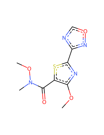 COc1nc(-c2ncon2)sc1C(=O)N(C)OC